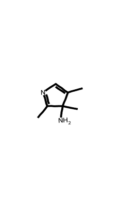 CC1=CN=C(C)C1(C)N